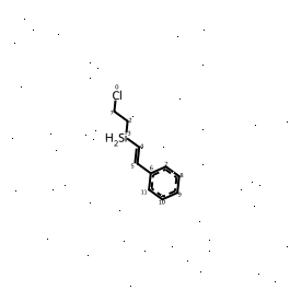 ClCC[SiH2]C=Cc1ccccc1